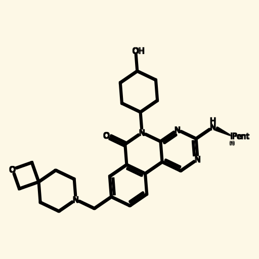 CCC[C@H](C)Nc1ncc2c3ccc(CN4CCC5(CC4)COC5)cc3c(=O)n(C3CCC(O)CC3)c2n1